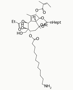 C/C=C(/C)C(=O)O[C@H]1C(C)=C2[C@H]([C@@H]1OC(=O)CCCCCCC)[C@@](C)(OC(C)=O)C[C@H](OC(=O)CCCCCCCCCCCN)[C@](O)(CO)[C@H]2OC(=O)CC